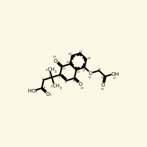 CC(C)(CC(=O)O)C1=CC(=O)c2c(OCC(=O)O)cccc2C1=O